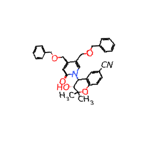 CC1(C)Oc2ccc(C#N)cc2[C@H](n2cc(COCc3ccccc3)c(COCc3ccccc3)cc2=O)[C@H]1O